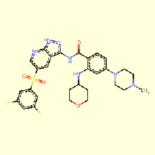 CN1CCN(c2ccc(C(=O)Nc3n[nH]c4ncc(S(=O)(=O)c5cc(F)cc(F)c5)cc34)c(NC3CCOCC3)c2)CC1